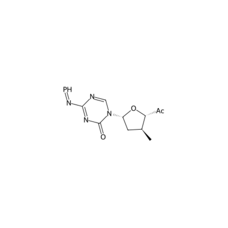 CC(=O)[C@H]1O[C@@H](n2cnc(N=P)nc2=O)C[C@@H]1C